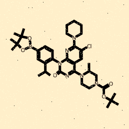 CC(C)c1cc(B2OC(C)(C)C(C)(C)O2)ccc1-n1c(=O)nc(N2CCN(C(=O)OC(C)(C)C)CC2C)c2cc(Cl)c(N3CCCCC3)nc21